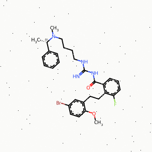 COc1ccc(Br)cc1CCc1c(F)cccc1C(=O)NC(=N)NCCCCN(C)[C@@H](C)c1ccccc1